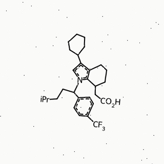 CC(C)CCC(c1ccc(C(F)(F)F)cc1)n1cc(C2CCCCC2)c2c1C(CC(=O)O)CCC2